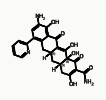 NC(=O)C1=C(O)C[C@@H]2C[C@@H]3Cc4c(-c5ccccn5)cc(N)c(O)c4C(=O)C3=C(O)[C@]2(O)C1=O